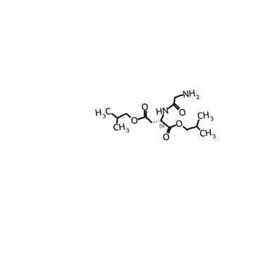 CC(C)COC(=O)C[C@H](NC(=O)CN)C(=O)OCC(C)C